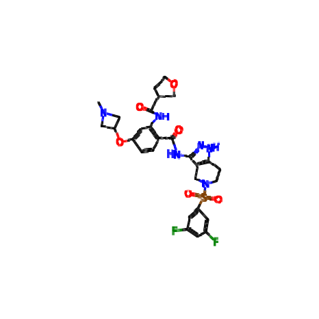 CN1CC(Oc2ccc(C(=O)Nc3n[nH]c4c3CN(S(=O)(=O)c3cc(F)cc(F)c3)CC4)c(NC(=O)C3CCOC3)c2)C1